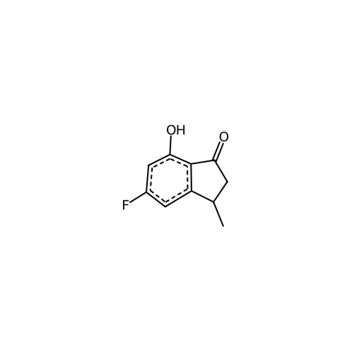 CC1CC(=O)c2c(O)cc(F)cc21